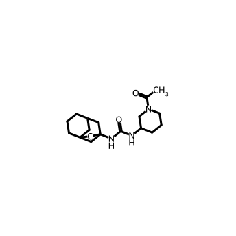 CC(=O)N1CCCC(NC(=O)NC23CC4CCCC(C4)(C2)C3)C1